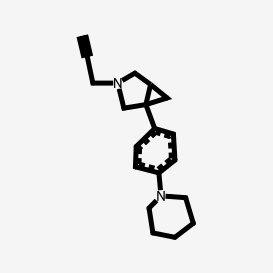 C#CCN1CC2CC2(c2ccc(N3CCCCC3)cc2)C1